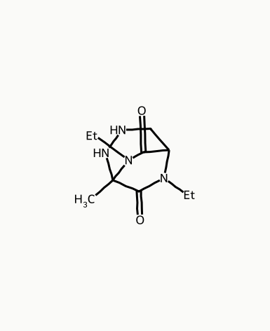 CCN1C(=O)C2(C)NNCC1C(=O)N2CC